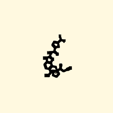 N#CCC(=O)[C@]1(Cc2c(CO)ccc3[nH]c(NC(=O)c4ccc(C(F)F)s4)nc23)CCCN1